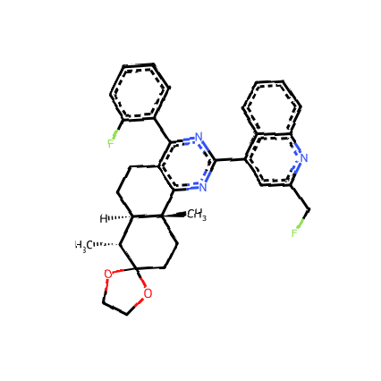 C[C@@H]1[C@H]2CCc3c(-c4ccccc4F)nc(-c4cc(CF)nc5ccccc45)nc3[C@]2(C)CCC12OCCO2